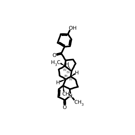 CN1C(=O)C=C[C@@]2(C)C1CC[C@@H]1[C@H]2CC[C@]2(C)C(C(=O)c3ccc(O)cc3)CC[C@@H]12